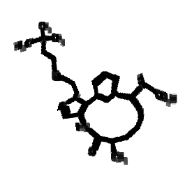 C[C@@H]1CCC[C@H](NC(=O)O)c2cccc(c2)-c2c(cnn2COCC[Si](C)(C)C)NC1=O